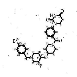 O=C1CCN(c2cccc(C(=O)N3CCC(O[C@@H]4CCN(Cc5ccc(Br)cc5)C[C@H]4F)CC3)c2)C(=O)N1